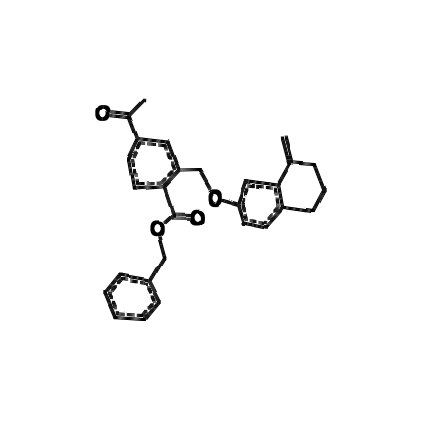 C=C1CCCc2ccc(OCc3cc(C(C)=O)ccc3C(=O)OCc3ccccc3)cc21